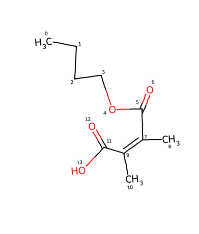 CCCCOC(=O)C(C)=C(C)C(=O)O